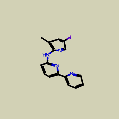 Cc1cc(I)cnc1Nc1cccc(-c2ccccn2)n1